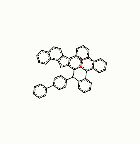 c1ccc(-c2ccc(N(c3ccccc3-c3cc4ccccc4c4ccccc34)c3cccc4c3oc3c5ccccc5ccc43)cc2)cc1